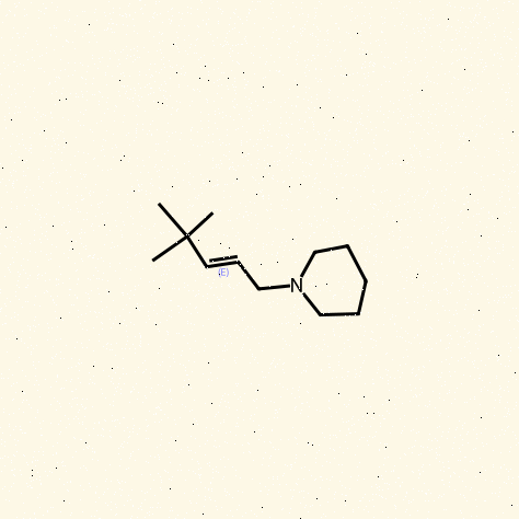 CC(C)(C)/C=C/CN1CCCCC1